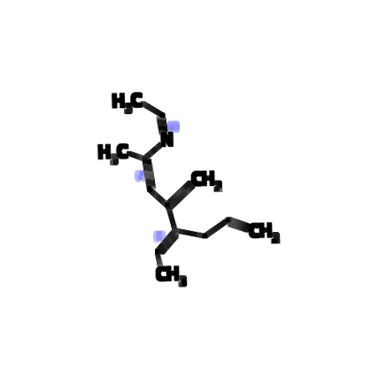 C=CC/C(=C\C)C(=C)/C=C(C)\N=C/C